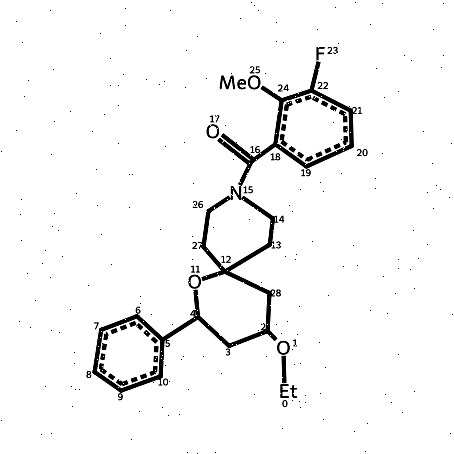 CCOC1CC(c2ccccc2)OC2(CCN(C(=O)c3cccc(F)c3OC)CC2)C1